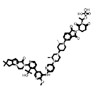 COc1ncc(-c2ccnc(N3CCn4c(cc5c4CC(C)(C)C5)C3=O)c2C(C)(C)O)cc1Nc1ccc(N2CCN(C3CCN(c4ccc5c(c4)C(=O)N([C@H]4CCC(=O)N(C(C)OP(=O)(O)O)C4=O)C5=O)[C@@H](C)C3)C[C@@H]2C)cn1